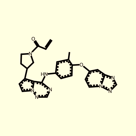 C=CC(=O)N1CCC(c2ccn3ncnc(Nc4ccc(Oc5ccn6ncnc6c5)c(C)c4)c23)C1